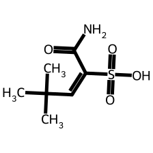 CC(C)(C)C=C(C(N)=O)S(=O)(=O)O